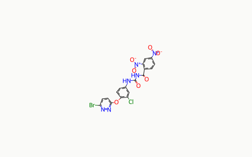 O=C(NC(=O)c1ccc([N+](=O)[O-])cc1[N+](=O)[O-])Nc1ccc(Oc2ccc(Br)nn2)c(Cl)c1